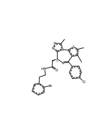 Cc1sc2c(c1C)C(c1ccc(Cl)cc1)=N[C@@H](CC(=O)NCCc1ccccc1Br)c1nnc(C)n1-2